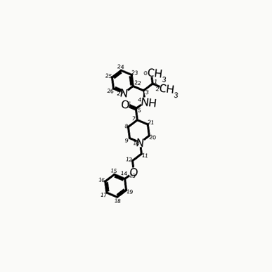 CC(C)[C@@H](NC(=O)C1CCN(CCOc2ccccc2)CC1)c1ccccn1